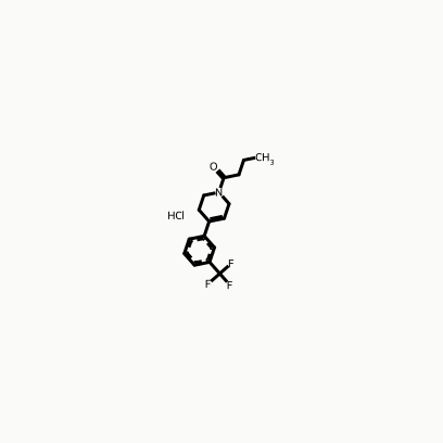 CCCC(=O)N1CC=C(c2cccc(C(F)(F)F)c2)CC1.Cl